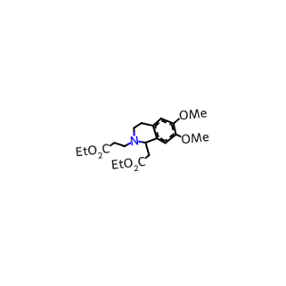 CCOC(=O)CCN1CCc2cc(OC)c(OC)cc2C1CC(=O)OCC